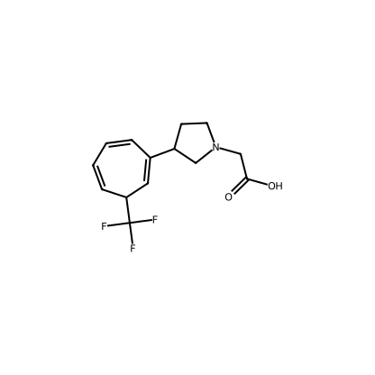 O=C(O)CN1CCC(C2=CC(C(F)(F)F)C=CC=C2)C1